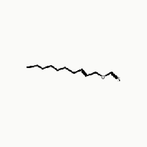 CCCCCCCC=CCOC=S